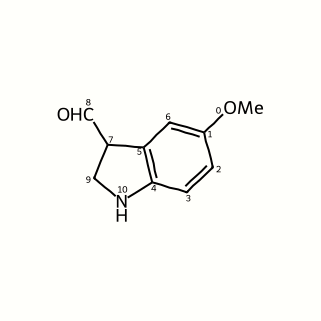 COc1ccc2c(c1)C(C=O)CN2